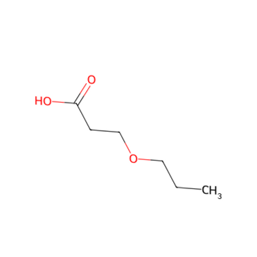 CCCOCCC(=O)O